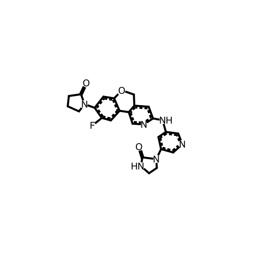 O=C1NCCN1c1cncc(Nc2cc3c(cn2)-c2cc(F)c(N4CCCC4=O)cc2OC3)c1